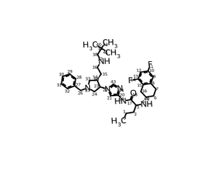 CCCC(N[C@H]1CCc2cc(F)cc(F)c2C1)C(=O)Nc1cn(C2CN(Cc3ccccc3)C[C@H]2CCNCC(C)(C)C)cn1